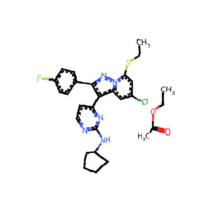 CCOC(C)=O.CCSc1cc(Cl)cc2c(-c3ccnc(NC4CCCC4)n3)c(-c3ccc(F)cc3)nn12